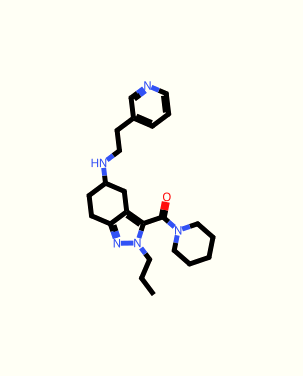 CCCn1nc2c(c1C(=O)N1CCCCC1)CC(NCCc1cccnc1)CC2